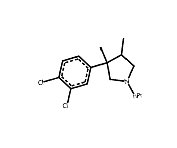 CCCN1CC(C)C(C)(c2ccc(Cl)c(Cl)c2)C1